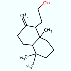 C=C1CCC2C(C)(C)CCCC2(C)C1CCO